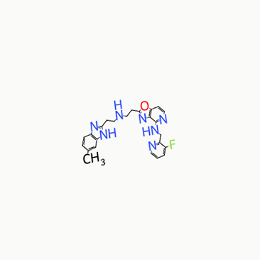 Cc1ccc2nc(CCNCCc3nc4c(NCc5ncccc5F)nccc4o3)[nH]c2c1